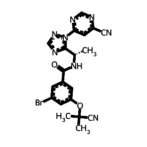 C[C@H](NC(=O)c1cc(Br)cc(OC(C)(C)C#N)c1)c1ncnn1-c1cc(C#N)ncn1